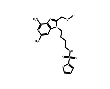 CCOCc1nc2c(N)nc(C)cc2n1CCCCNS(=O)(=O)c1cccs1